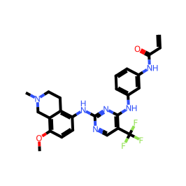 C=CC(=O)Nc1cccc(Nc2nc(Nc3ccc(OC)c4c3CCN(C)C4)ncc2C(F)(F)F)c1